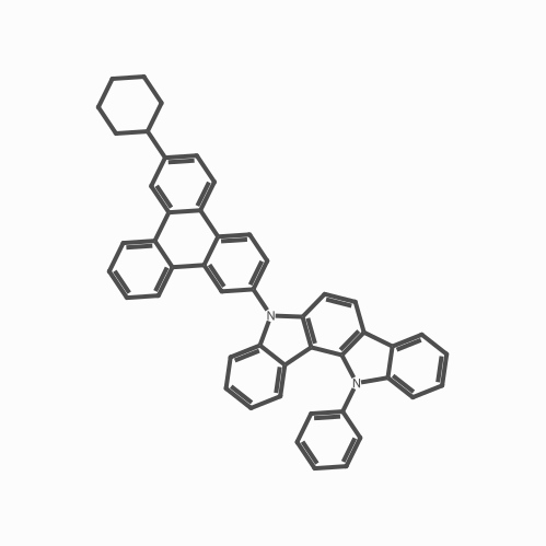 c1ccc(-n2c3ccccc3c3ccc4c(c5ccccc5n4-c4ccc5c6ccc(C7CCCCC7)cc6c6ccccc6c5c4)c32)cc1